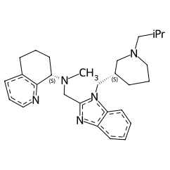 CC(C)CN1CCC[C@H](Cn2c(CN(C)[C@H]3CCCc4cccnc43)nc3ccccc32)C1